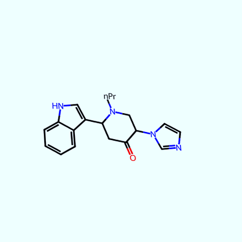 CCCN1CC(n2ccnc2)C(=O)CC1c1c[nH]c2ccccc12